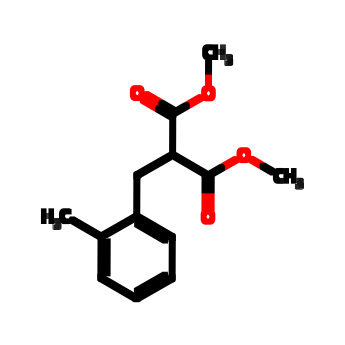 COC(=O)C(Cc1ccccc1C)C(=O)OC